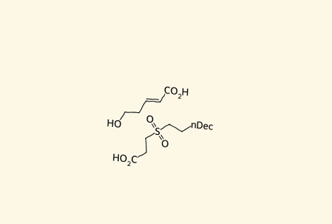 CCCCCCCCCCCCS(=O)(=O)CCC(=O)O.O=C(O)C=CCCO